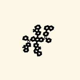 CC1(C)c2ccccc2-c2ccc(-c3c4ccc(N(c5ccccc5)c5ccc6c(c5)C(C)(C)c5ccccc5-6)cc4c(-c4ccc5c(c4)C(C)(C)c4c-5ccc5ccccc45)c4ccc(N(c5ccccc5)c5ccc(-c6cccc7ccccc67)cc5)cc34)cc21